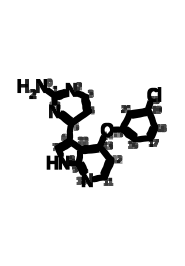 Nc1nccc(-c2c[nH]c3nccc(Oc4cccc(Cl)c4)c23)n1